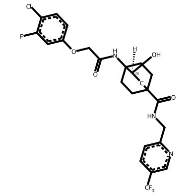 O=C(COc1ccc(Cl)c(F)c1)NC12CCC(C(=O)NCc3ccc(C(F)(F)F)cn3)(CC1)C[C@@H]2O